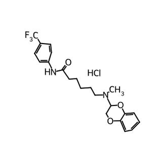 CN(CCCCCC(=O)Nc1ccc(C(F)(F)F)cc1)C1COc2ccccc2O1.Cl